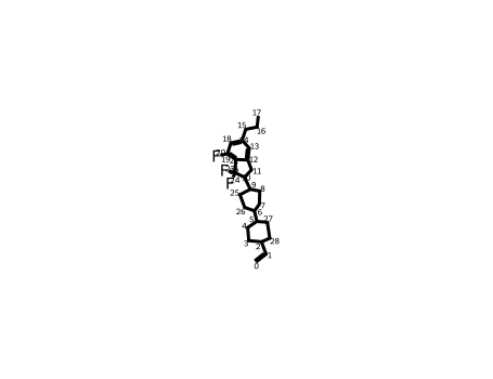 C=CC1CCC(C2CCC(C3Cc4cc(CCC)cc(F)c4C3(F)F)CC2)CC1